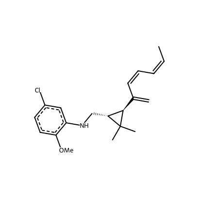 C=C(/C=C\C=C/C)[C@@H]1[C@@H](CNc2cc(Cl)ccc2OC)C1(C)C